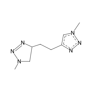 CN1CC(CCc2cn(C)nn2)N=N1